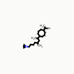 C=C(CCCCN1C#C1)CC(C)C1CCCC(C(C)C(C)C)CCC1